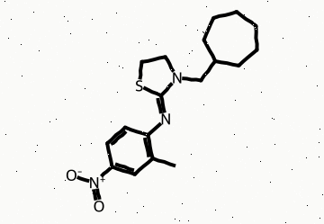 Cc1cc([N+](=O)[O-])ccc1N=C1SCCN1CC1CCCCCC1